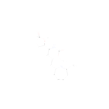 COC1=NC(CCCC(NC(=O)OC(C)(C)C)C2COC(=O)O2)CCCC1